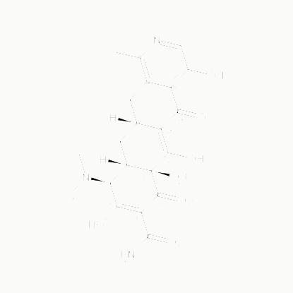 Cc1ncc(O)c2c1C[C@H]1C[C@H]3[C@H](N(C)C)C(O)=C(C(N)=O)C(=O)[C@@]3(O)C(O)=C1C2=O